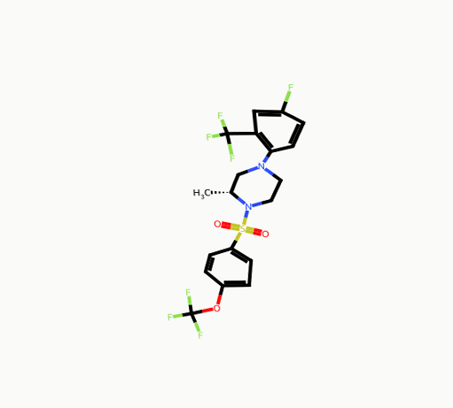 C[C@@H]1CN(c2ccc(F)cc2C(F)(F)F)CCN1S(=O)(=O)c1ccc(OC(F)(F)F)cc1